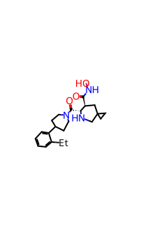 CCc1ccccc1C1CCN(C(=O)[C@H]2NCC3(CC3)C[C@@H]2C(=O)NO)CC1